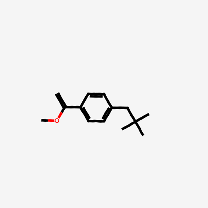 C=C(OC)c1ccc(CC(C)(C)C)cc1